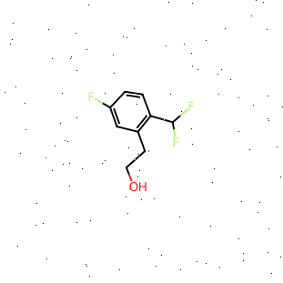 OC[CH]c1cc(F)ccc1C(F)F